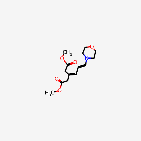 COC(=O)CC(=C/C=C/N1CCOCC1)CC(=O)OC